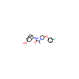 CC(C(=O)NC1C2CC3CC1CC(O)(C3)C2)N1CCC(Oc2cccc(F)c2)C1